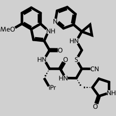 COc1cccc2[nH]c(C(=O)N[C@@H](CC(C)C)C(=O)N[C@@H](C[C@@H]3CCNC3=O)C(C#N)SCNC3(c4cccnc4)CC3)cc12